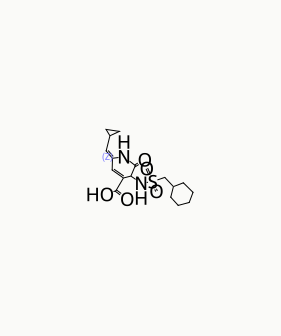 O=C(O)C1=C/C(=C/C2CC2)NC(=O)C1NS(=O)(=O)CC1CCCCC1